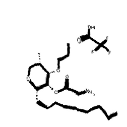 CCCCCCC/C=C\[C@@H]1OC[C@H](C)[C@H](OCCC)[C@@H]1OC(=O)CN.O=C(O)C(F)(F)F